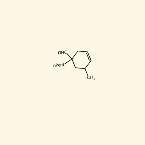 CCCCCC1(C=O)CC=CC(C)C1